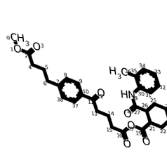 COC(=O)CCCc1ccc(C(=O)CCCC(=O)OC(=O)C2CCCCC2C(=O)Nc2ccccc2C)cc1